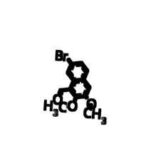 COc1cc2ccc(Br)cc2c(C=O)c1OC